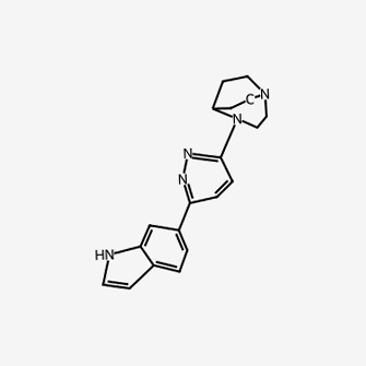 c1cc2ccc(-c3ccc(N4CCN5CCC4CC5)nn3)cc2[nH]1